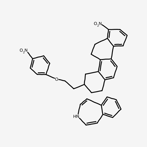 C1=Cc2ccccc2C=CN1.O=[N+]([O-])c1ccc(OCCC2CCc3ccc4c(c3C2)CCc2c-4cccc2[N+](=O)[O-])cc1